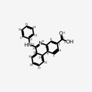 O=C(O)c1c#cc2c(c1)nc(Nc1ccccc1)c1ccccc12